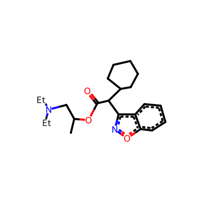 CCN(CC)CC(C)OC(=O)C(c1noc2ccccc12)C1CCCCC1